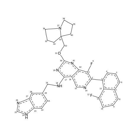 Fc1c(-c2cccc3cccc(F)c23)ncc2c(NCc3ccc4[nH]cnc4c3)nc(OCC34CCCN3CCC4)nc12